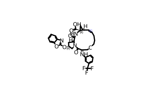 O=C1N[C@]2(C(=O)O)C[C@H]2/C=C\CCCCC[C@H](Nc2cccc(C(F)(F)F)c2)C(=O)N2C[C@H](Oc3nc4ccccc4o3)C[C@@H]12